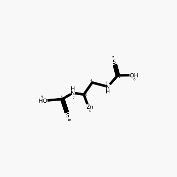 OC(=S)NC[CH]([Zn])NC(O)=S